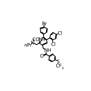 CCCN(Cc1nc(-c2ccc(Br)cc2)c(-c2ccc(Cl)cc2Cl)cc1CNC(=O)c1ccc(SC(F)(F)F)cc1)C(=O)O